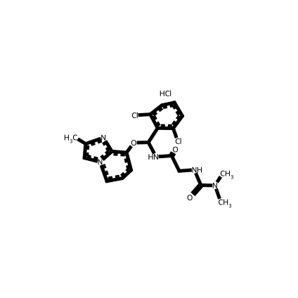 Cc1cn2cccc(OC(NC(=O)CNC(=O)N(C)C)c3c(Cl)cccc3Cl)c2n1.Cl